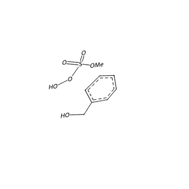 COS(=O)(=O)OO.OCc1ccccc1